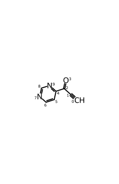 C#CC(=O)c1ccncn1